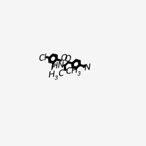 CC(C)C(NC(=O)c1ccc(Cl)cc1F)C(=O)c1ccc(C#N)cc1